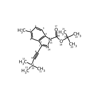 Cc1ccc2c(c1)c(C#C[Si](C)(C)C)nn2C(=O)OC(C)(C)C